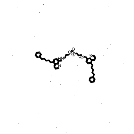 O=[PH](OCCCNCc1ccc(CCCCCc2ccccc2)c2cccnc12)OCCCNCc1ccc(CCCCCc2ccccc2)c2cccnc12